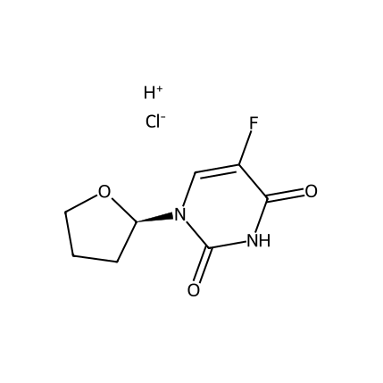 O=c1[nH]c(=O)n([C@H]2CCCO2)cc1F.[Cl-].[H+]